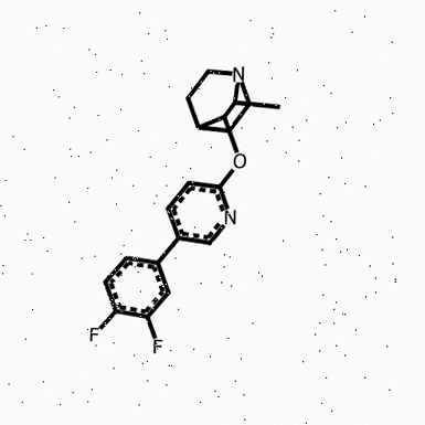 CC1C(Oc2ccc(-c3ccc(F)c(F)c3)cn2)C2CCN1CC2